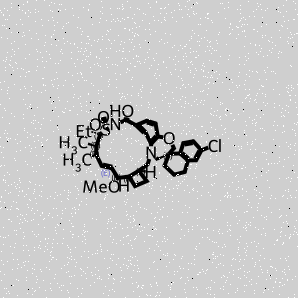 CC[C@H]1[C@H](C)[C@H](C)/C=C/[C@H](OC)[C@@H]2CC[C@H]2CN2C[C@@]3(CCCc4cc(Cl)ccc43)COc3ccc(cc32)C(=O)NS1(=O)=O